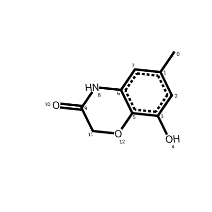 Cc1cc(O)c2c(c1)NC(=O)CO2